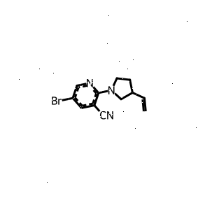 C=CC1CCN(c2ncc(Br)cc2C#N)C1